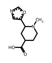 CN1CCC(C(=O)O)CC1c1cnco1